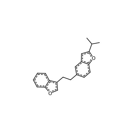 CC(C)c1cc2cc(CCc3coc4ccccc34)ccc2o1